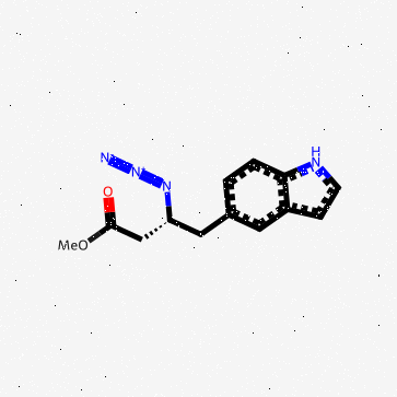 COC(=O)C[C@@H](Cc1ccc2[nH]ccc2c1)N=[N+]=[N-]